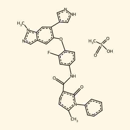 CS(=O)(=O)O.Cc1ccc(C(=O)Nc2ccc(Oc3cc4cnn(C)c4cc3-c3cn[nH]c3)c(F)c2)c(=O)n1-c1ccccc1